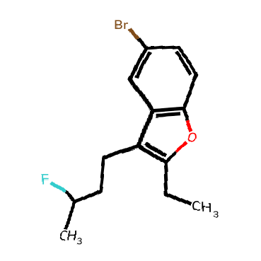 CCc1oc2ccc(Br)cc2c1CCC(C)F